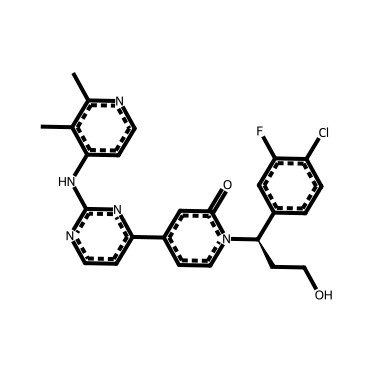 Cc1nccc(Nc2nccc(-c3ccn([C@H](CCO)c4ccc(Cl)c(F)c4)c(=O)c3)n2)c1C